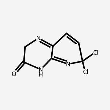 O=C1CN=C2C=CC(Cl)(Cl)N=C2N1